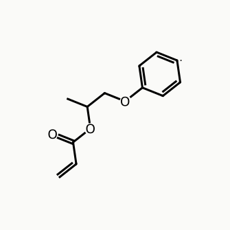 C=CC(=O)OC(C)COc1cc[c]cc1